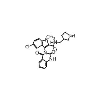 Cn1c(C(=O)NCC2CCNC2)c(-n2c(=O)[nH]c3ccccc3c2=O)c2cc(Cl)ccc21